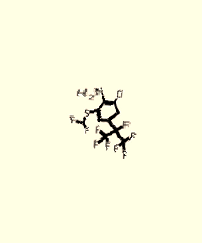 Nc1c(Cl)cc(C(F)(C(F)(F)F)C(F)(F)F)cc1SC(F)F